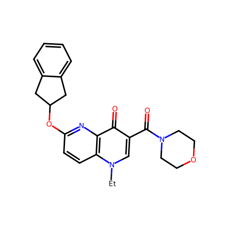 CCn1cc(C(=O)N2CCOCC2)c(=O)c2nc(OC3Cc4ccccc4C3)ccc21